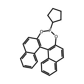 c1ccc2c(c1)ccc1op(C3CCCC3)oc3ccc4ccccc4c3c12